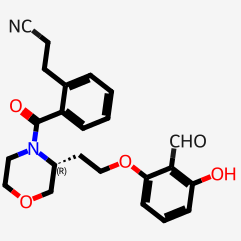 N#CCCc1ccccc1C(=O)N1CCOC[C@H]1CCOc1cccc(O)c1C=O